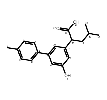 Cc1ccc(-c2cc(O)cc(C(CC(C)C)C(=O)O)c2)cc1